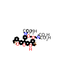 O=C(O)CN(CCOCCOc1cc(-c2c3cc(-c4cccc5ccsc45)c(=O)cc-3oc3cc(O)c(-c4cccc5sccc45)cc23)ccc1N(CC(=O)O)CC(=O)O)CC(=O)O